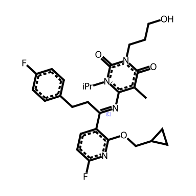 Cc1c(/N=C(\CCc2ccc(F)cc2)c2ccc(F)nc2OCC2CC2)n(C(C)C)c(=O)n(CCCO)c1=O